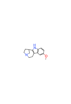 COc1ccc2[nH]c3c(c2c1)CCN1CCC3C1